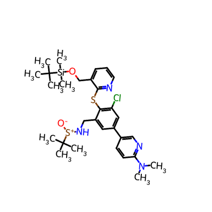 CN(C)c1ccc(-c2cc(Cl)c(Sc3ncccc3CO[Si](C)(C)C(C)(C)C)c(CN[S+]([O-])C(C)(C)C)c2)cn1